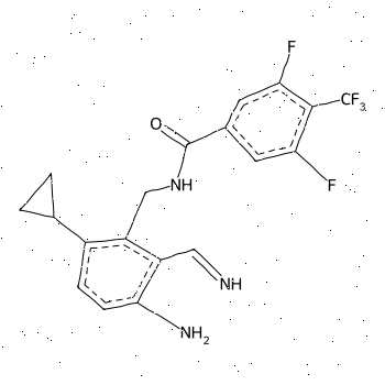 N=Cc1c(N)ccc(C2CC2)c1CNC(=O)c1cc(F)c(C(F)(F)F)c(F)c1